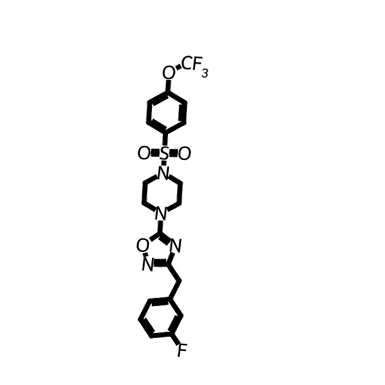 O=S(=O)(c1ccc(OC(F)(F)F)cc1)N1CCN(c2nc(Cc3cccc(F)c3)no2)CC1